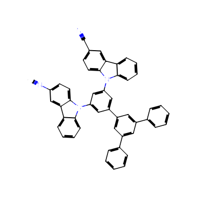 [C-]#[N+]c1ccc2c(c1)c1ccccc1n2-c1cc(-c2cc(-c3ccccc3)cc(-c3ccccc3)c2)cc(-n2c3ccccc3c3cc(C#N)ccc32)c1